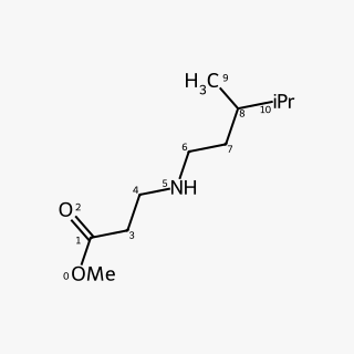 COC(=O)CCNCCC(C)C(C)C